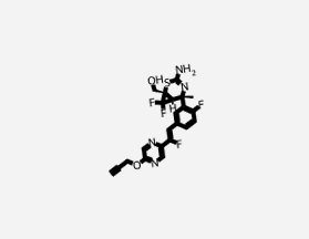 C#CCOc1cnc(/C(F)=C/c2ccc(F)c([C@@]3(C)N=C(N)S[C@]4(CO)[C@@H]3C4(F)F)c2)cn1